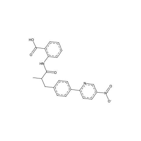 CC(Cc1ccc(-c2ccc([N+](=O)[O-])cn2)cc1)C(=O)Nc1ccccc1C(=O)O